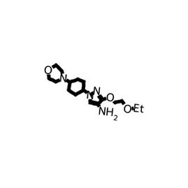 CCOCCOc1nn(C2CCC(N3CCOCC3)CC2)cc1N